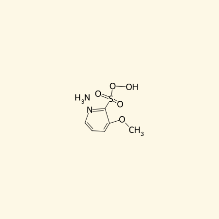 COc1cccnc1S(=O)(=O)OO.N